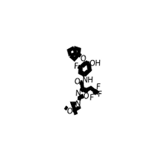 COC1(C)CN(c2nc(C(=O)Nc3cc(O)c(OC4CC5CC(C5)C4)c(F)c3)c(CC(F)(F)F)o2)C1